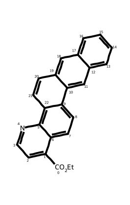 CCOC(=O)c1ccnc2c1ccc1c3cc4ccccc4cc3ccc12